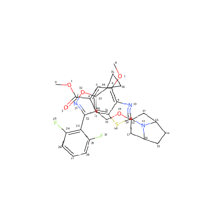 COC(=O)c1cc(OC)c2nc(N3C4CCC3CC(OCc3c(-c5c(F)cccc5F)noc3C3CC3)C4)sc2c1